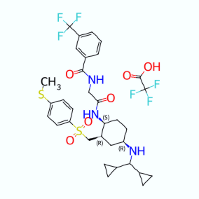 CSc1ccc(S(=O)(=O)C[C@@H]2C[C@H](NC(C3CC3)C3CC3)CC[C@@H]2NC(=O)CNC(=O)c2cccc(C(F)(F)F)c2)cc1.O=C(O)C(F)(F)F